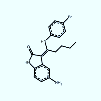 CCCC/C(Nc1ccc(Br)cc1)=C1/C(=O)Nc2ccc(N)cc21